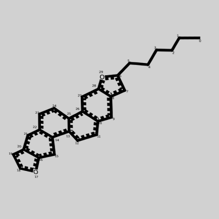 CCCCCCc1cc2cc3ccc4c5cc6occc6cc5ccc4c3cc2o1